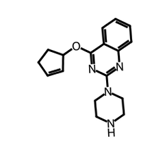 C1=CC(Oc2nc(N3CCNCC3)nc3ccccc23)CC1